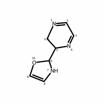 [C]1N=CC=NC1C1NC=CO1